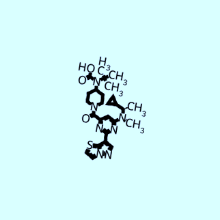 C[C@@H](C1CC1)N(C)c1cc(C(=O)N2CCC(N(C(=O)O)C(C)(C)C)CC2)nc(-c2cnn3ccsc23)n1